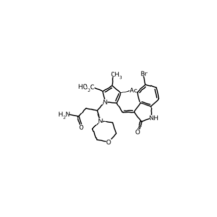 CC(=O)c1c(C)c(C(=O)O)n(C(CC(N)=O)N2CCOCC2)c1C=C1C(=O)Nc2ccc(Br)cc21